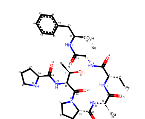 CC[C@H](C)[C@H](NC(=O)[C@H](CC(C)C)NC(=O)[C@@H](NC(=O)[C@@H]1CCCN1C(=O)[C@@H](NC(=O)[C@@H]1CCCN1)[C@@H](C)O)[C@@H](C)CC)C(=O)N[C@@H](Cc1ccccc1)C(=O)O